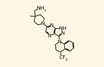 CC1(CN)CCN(c2cnc3c(N4CCC(C(F)(F)F)c5ccccc54)n[nH]c3n2)CC1